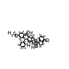 COc1ccc(N(C)C(=O)[C@H](Cc2ccccc2)NC(=O)NS(=O)(=O)N2CCc3c(Cl)cccc32)cc1